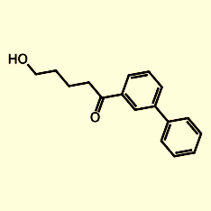 O=C(CCCCO)c1cccc(-c2ccccc2)c1